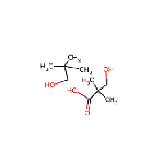 CC(C)(C)CO.CC(C)(CO)C(=O)O